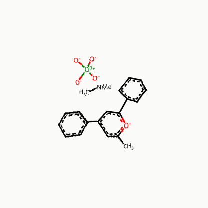 CNC.Cc1cc(-c2ccccc2)cc(-c2ccccc2)[o+]1.[O-][Cl+3]([O-])([O-])[O-]